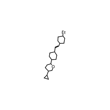 CCC1CCC(/C=C/C2CCC(C3CCC(C4CC4)CO3)CC2)CC1